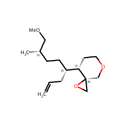 C=CC[C@H](CC[C@H](C)COC)[C@@H]1CCOC[C@@]12CO2